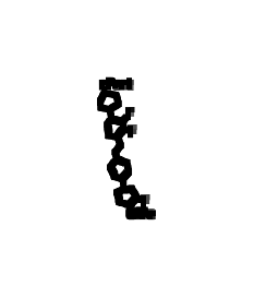 CCCCCC1CCC(c2ccc(CCc3ccc(-c4ccc(OC)c(F)c4)cc3)c(F)c2F)CC1